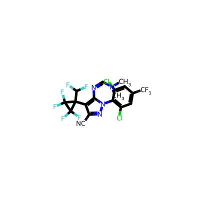 CN(C)/C=N\c1c(C2(C(F)F)C(F)(F)C2(F)F)c(C#N)nn1-c1c(Cl)cc(C(F)(F)F)cc1Cl